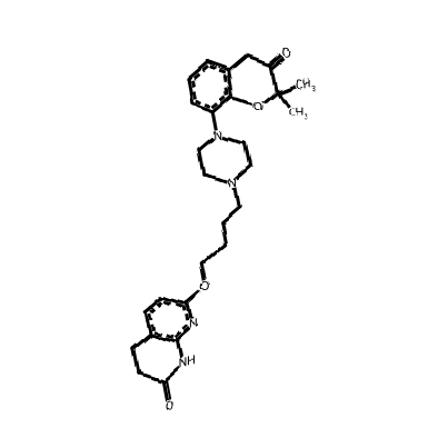 CC1(C)Oc2c(cccc2N2CCN(CCCCOc3ccc4c(n3)NC(=O)CC4)CC2)CC1=O